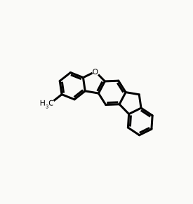 Cc1ccc2oc3cc4c(cc3c2c1)-c1ccccc1C4